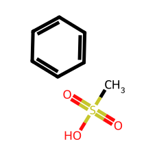 CS(=O)(=O)O.c1ccccc1